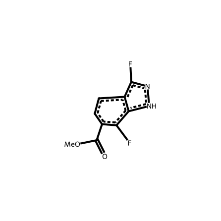 COC(=O)c1ccc2c(F)n[nH]c2c1F